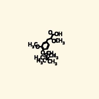 COc1cc(CC(OC)C(=O)O)ccc1O[Si](C)(C)C(C)(C)C